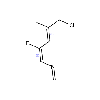 C=N/C=C(F)\C=C(/C)CCl